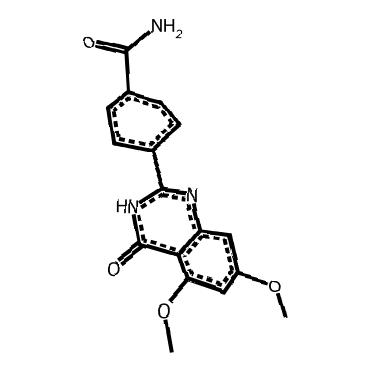 COc1cc(OC)c2c(=O)[nH]c(-c3ccc(C(N)=O)cc3)nc2c1